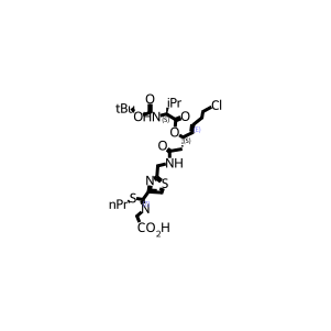 CCCS/C(=N\CC(=O)O)c1csc(CNC(=O)C[C@@H](/C=C/CCCl)OC(=O)[C@@H](NC(=O)OC(C)(C)C)C(C)C)n1